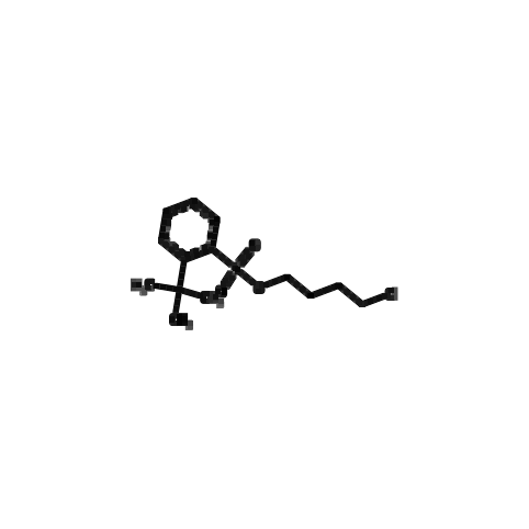 CC(C)(C)c1ccccc1S(=O)(=O)OCCCCCl